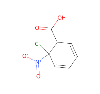 O=C(O)C1C=CC=CC1(Cl)[N+](=O)[O-]